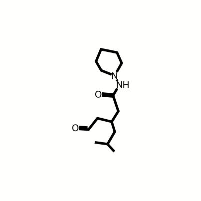 CC(C)CC(CC=O)CC(=O)NN1CCCCC1